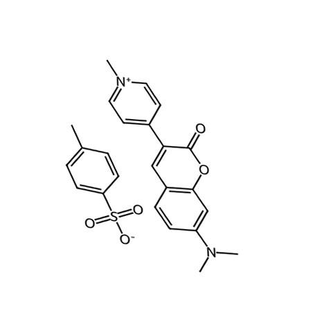 CN(C)c1ccc2cc(-c3cc[n+](C)cc3)c(=O)oc2c1.Cc1ccc(S(=O)(=O)[O-])cc1